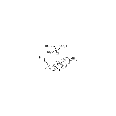 CC(C)CCC[C@@H](C)[C@H]1CC[C@H]2[C@@H]3CC=C4C[C@H](N)CC[C@]4(C)[C@H]3CC[C@]12C.O=C(O)CC(O)(CC(=O)O)C(=O)O